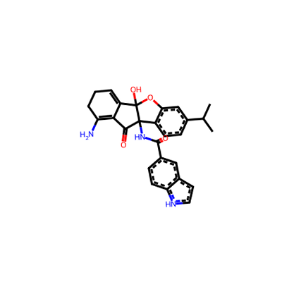 CC(C)c1ccc2c(c1)OC1(O)C3=CCCC(N)=C3C(=O)C21NC(=O)c1ccc2[nH]ccc2c1